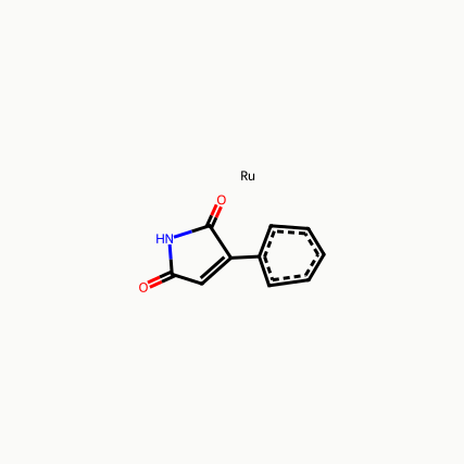 O=C1C=C(c2ccccc2)C(=O)N1.[Ru]